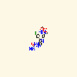 CN1C=NC(C(=O)NNc2nccc3nc(-c4ccc(C5(NC(=O)OC(C)(C)C)CCC5)cc4)c(-c4ccc(F)cc4)cc23)C1